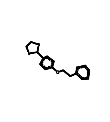 c1ccc(CCOc2ccc(C3SCCS3)cc2)cc1